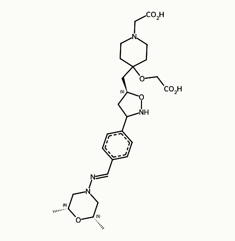 C[C@@H]1CN(N=Cc2ccc(C3C[C@@H](CC4(OCC(=O)O)CCN(CC(=O)O)CC4)ON3)cc2)C[C@H](C)O1